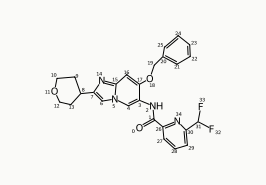 O=C(Nc1cn2cc(C3CCOCC3)nc2cc1OCc1ccccc1)c1cccc(C(F)F)n1